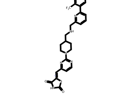 O=C1NC(=O)/C(=C/c2ccnc(N3CCC(CNCc4cccc(-c5ccccc5C(F)(F)F)n4)CC3)n2)S1